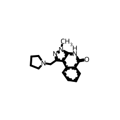 Cn1nc(CN2CCCC2)c2c3ccccc3c(=O)[nH]c21